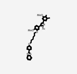 COc1ccc(-c2cc(-c3cc(C)c(C)c(OC)c3)nn2C(C)=O)cc1OCCCCCCOc1ccc(-c2nc3ccccc3s2)cc1